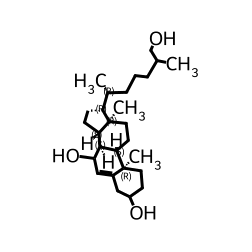 CC(CO)CCC[C@@H](C)[C@H]1CC[C@H]2[C@@H]3C(O)C=C4CC(O)CC[C@]4(C)[C@H]3CC[C@]12C